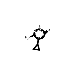 Nc1n[nH]c(=O)cc1C1CC1